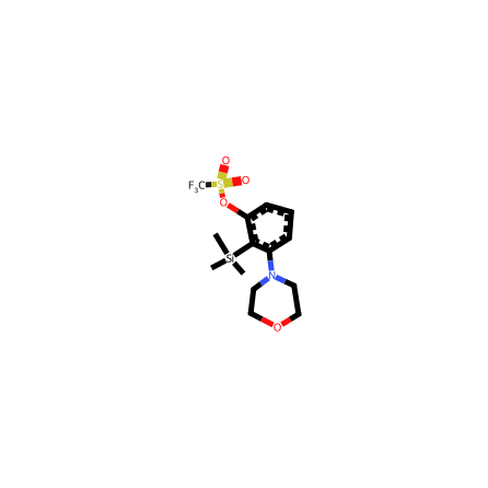 C[Si](C)(C)c1c(OS(=O)(=O)C(F)(F)F)cccc1N1CCOCC1